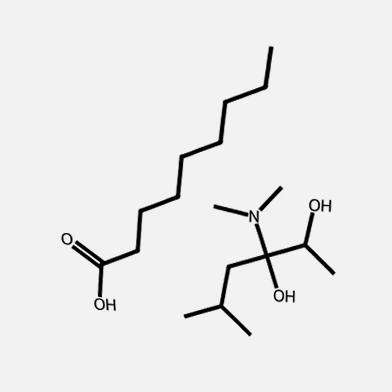 CC(C)CC(O)(C(C)O)N(C)C.CCCCCCCCC(=O)O